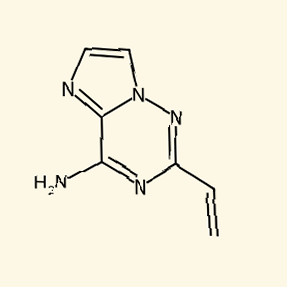 C=Cc1nc(N)c2nccn2n1